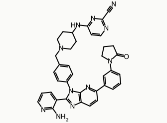 N#Cc1nccc(NC2CCN(Cc3ccc(-n4c(-c5cccnc5N)nc5ccc(-c6cccc(N7CCCC7=O)c6)nc54)cc3)CC2)n1